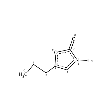 CCCc1cn(I)c(=O)o1